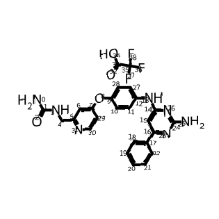 NC(=O)NCc1cc(Oc2ccc(Nc3cc(-c4ccccc4)nc(N)n3)cc2)ccn1.O=C(O)C(F)(F)F